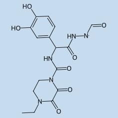 CCN1CCN(C(=O)NC(C(=O)N[N]C=O)c2ccc(O)c(O)c2)C(=O)C1=O